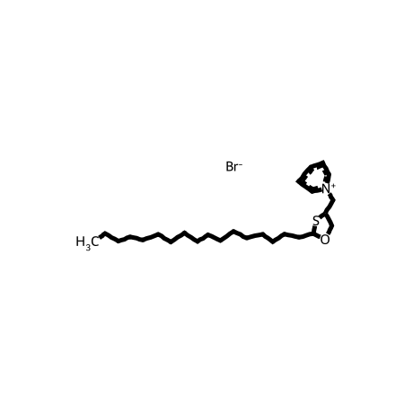 CCCCCCCCCCCCCCCCCC1OCC(C[n+]2ccccc2)S1.[Br-]